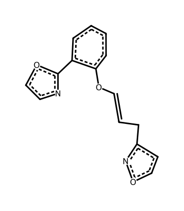 C(=COc1ccccc1-c1ncco1)Cc1ccon1